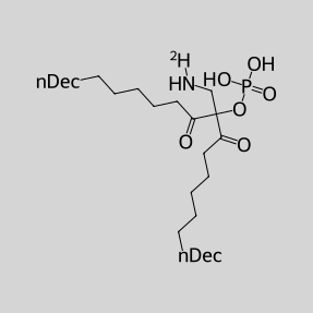 [2H]NCC(OP(=O)(O)O)(C(=O)CCCCCCCCCCCCCCC)C(=O)CCCCCCCCCCCCCCC